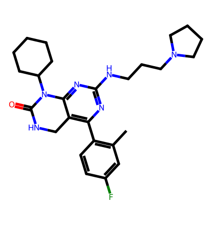 Cc1cc(F)ccc1-c1nc(NCCCN2CCCC2)nc2c1CNC(=O)N2C1CCCCC1